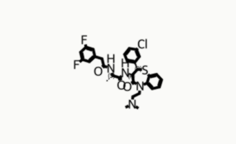 C[C@H](NC(=O)Cc1cc(F)cc(F)c1)C(=O)N[C@@H]1C(=O)N(CCN(C)C)c2ccccc2S[C@@H]1c1cccc(Cl)c1